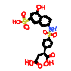 O=C(O)CC(C(=O)O)c1ccc(S(=O)(=O)Nc2ccc3c(O)cc(S(=O)(=O)O)cc3c2)cc1